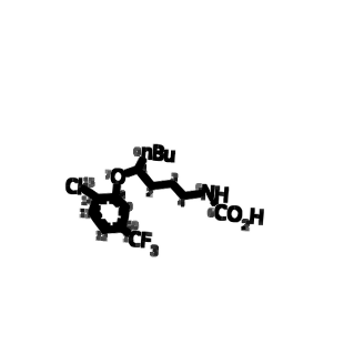 CCCCC(CCCNC(=O)O)Oc1cc(C(F)(F)F)ccc1Cl